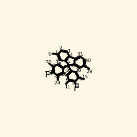 Cc1ccc2c(c1)C(c1cc(C)c(F)c(C)c1)(c1cc(C)c(F)c(C)c1)c1cc(C)ccc1-2